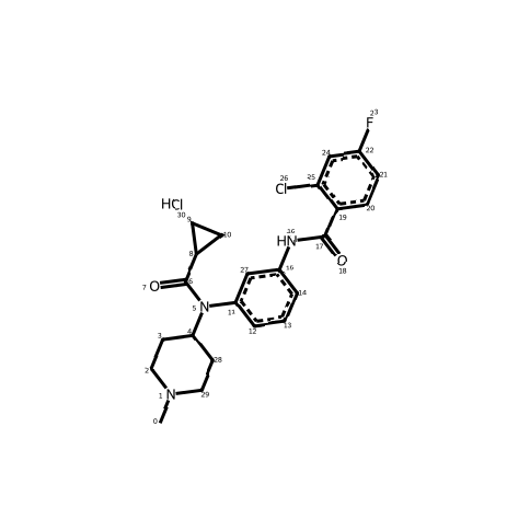 CN1CCC(N(C(=O)C2CC2)c2cccc(NC(=O)c3ccc(F)cc3Cl)c2)CC1.Cl